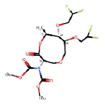 C[C@@H]1OC(=O)[C@@H](N(C(=O)OC(C)(C)C)C(=O)OC(C)(C)C)COC[C@H](OCC(F)F)[C@H]1OCC(F)F